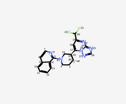 C[C@@H]1CCN(c2nccc3ccccc23)C[C@H]1c1cc(C(F)F)nc2ncnn12